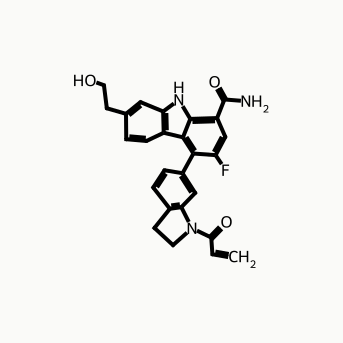 C=CC(=O)N1CCc2ccc(-c3c(F)cc(C(N)=O)c4[nH]c5cc(CCO)ccc5c34)cc21